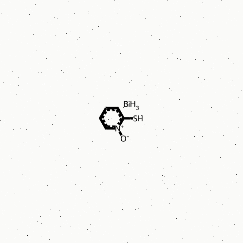 [BiH3].[O-][n+]1ccccc1S